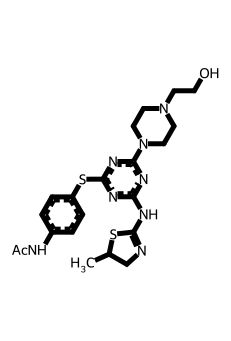 CC(=O)Nc1ccc(Sc2nc(NC3=NCC(C)S3)nc(N3CCN(CCO)CC3)n2)cc1